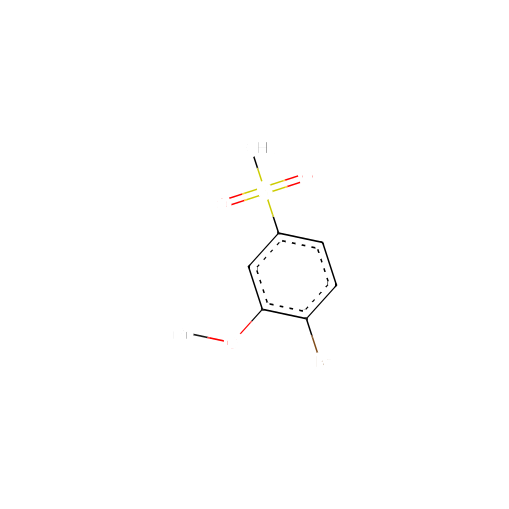 CC(C)Oc1cc(S(C)(=O)=O)ccc1Br